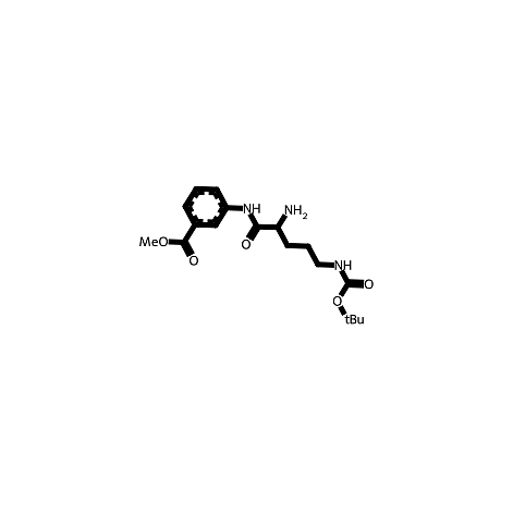 COC(=O)c1cccc(NC(=O)C(N)CCCNC(=O)OC(C)(C)C)c1